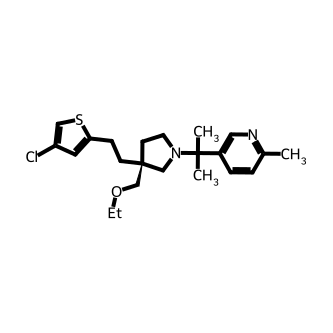 CCOC[C@@]1(CCc2cc(Cl)cs2)CCN(C(C)(C)c2ccc(C)nc2)C1